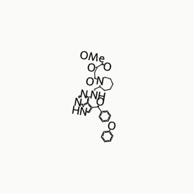 COC(=O)C1OC1C(=O)N1CCCCCC1CNc1ncnc2[nH]cc(C(=O)c3ccc(Oc4ccccc4)cc3)c12